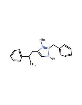 CCCC[n+]1c(CC(C)c2ccccc2)cn(C(C)C)c1Cc1ccccc1